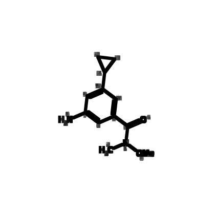 CON(C)C(=O)c1cc(N)cc(C2CC2)c1